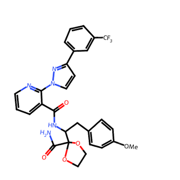 COc1ccc(CC(NC(=O)c2cccnc2-n2ccc(-c3cccc(C(F)(F)F)c3)n2)C2(C(N)=O)OCCO2)cc1